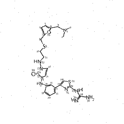 CN(C)Cc1ccc(CSCCNN2C=CN(Nc3cccc(-c4csc(NC(=N)N)n4)c3)[S+]2[O-])o1